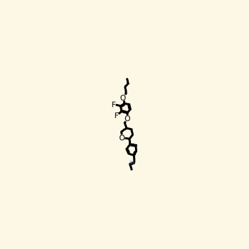 C/C=C/c1ccc(C2CCC(COc3ccc(OCCCC)c(F)c3F)CO2)cc1